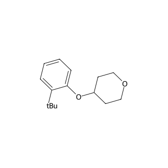 CC(C)(C)c1ccccc1OC1CCOCC1